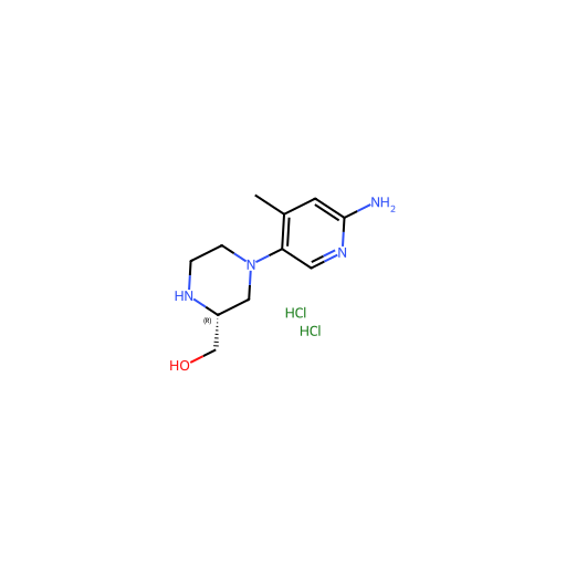 Cc1cc(N)ncc1N1CCN[C@@H](CO)C1.Cl.Cl